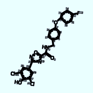 O=C(NCc1ccc(Oc2ccc(F)cc2)cc1)c1nc(-c2cc(Cl)c(O)c(Cl)c2)no1